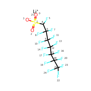 O=S(=O)([O-])C(F)C(F)(F)C(F)(F)C(F)(F)C(F)(F)C(F)(F)C(F)(F)F.[Li+]